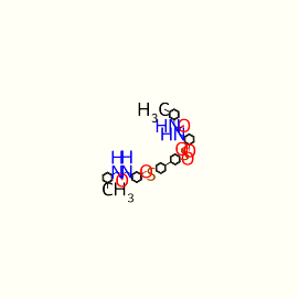 Cc1cccc(NC(=O)Nc2cccc(OSc3ccc(-c4ccc(S(=O)(=O)Oc5cccc(NC(=O)Nc6cccc(C)c6)c5)cc4)cc3)c2)c1